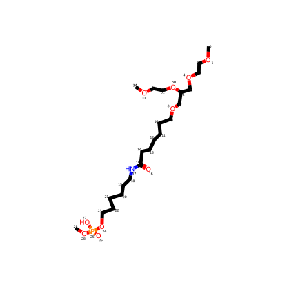 COCCOCC(COCCCCCCC(=O)NCCCCCCOP(=O)(O)OC)OCCOC